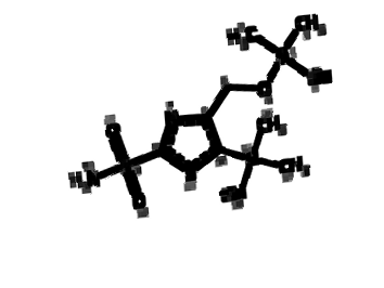 CC(C)(C)[Si](C)(C)OCc1nc(S(N)(=O)=O)sc1[Si](C)(C)C(C)(C)C